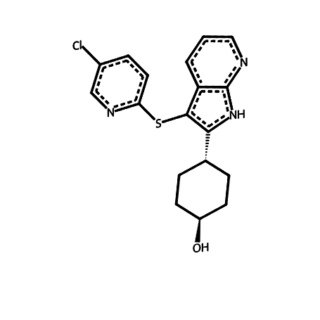 O[C@H]1CC[C@H](c2[nH]c3ncccc3c2Sc2ccc(Cl)cn2)CC1